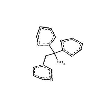 NC(Cc1cccnc1)(c1ccccn1)c1ccccn1